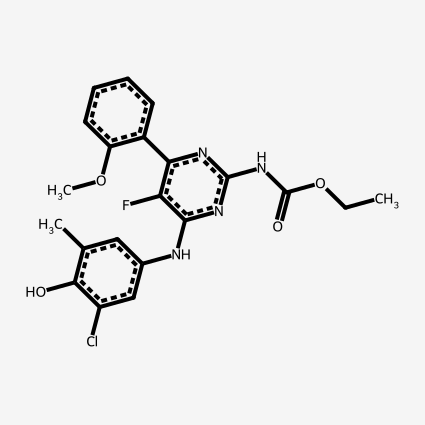 CCOC(=O)Nc1nc(Nc2cc(C)c(O)c(Cl)c2)c(F)c(-c2ccccc2OC)n1